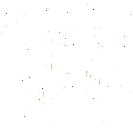 CCC1SC(=O)N(Cc2ccc(C(=O)NC3CCCC3)cc2)N=C1c1ccc(OCF)c(OC)c1